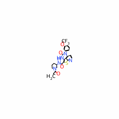 C=CC(=O)N1CCC[C@@H](NC(=O)c2sc3nccc4c3c2NC(=O)N4c2cccc(OC(F)(F)F)c2)C1